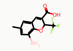 Bc1cc(C)cc2c1OC(C(F)(F)F)C(C(=O)O)=C2